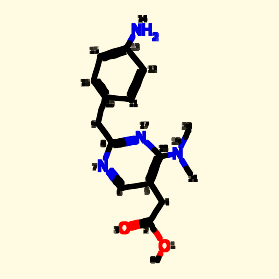 COC(=O)Cc1cnc(Cc2ccc(N)cc2)nc1N(C)C